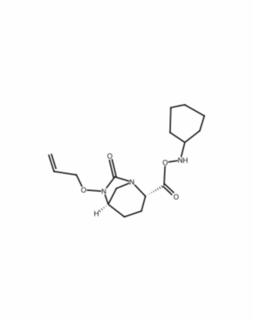 C=CCON1C(=O)N2C[C@H]1CC[C@H]2C(=O)ONC1CCCCC1